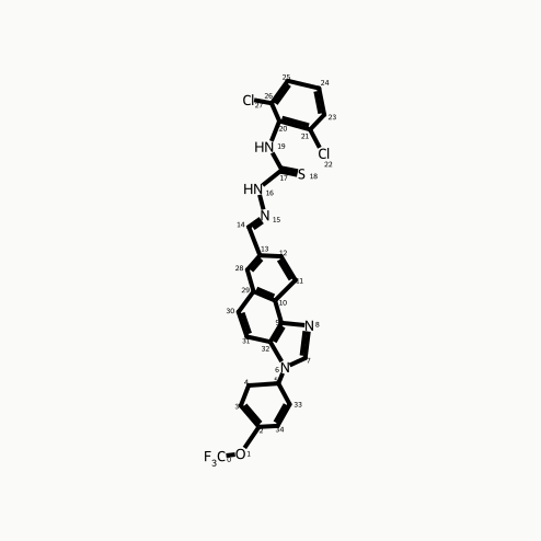 FC(F)(F)OC1=CCC(n2cnc3c4ccc(/C=N/NC(=S)Nc5c(Cl)cccc5Cl)cc4ccc32)C=C1